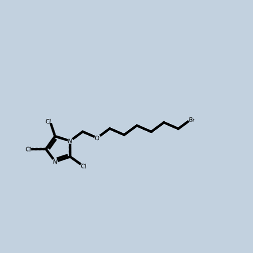 Clc1nc(Cl)n(COCCCCCCBr)c1Cl